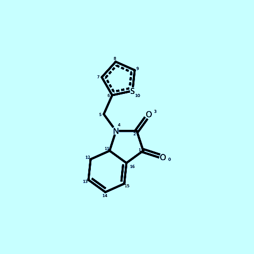 O=C1C(=O)N(Cc2cccs2)C2CC=CC=C12